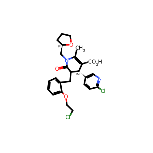 CC1=C(C(=O)O)[C@H](c2ccc(Cl)nc2)C(Cc2ccccc2OCCCl)C(=O)N1C[C@H]1CCCO1